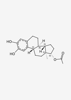 CC(=O)O[C@H]1CC[C@H]2[C@@H]3CCc4cc(O)c(O)cc4[C@H]3CC[C@]12C